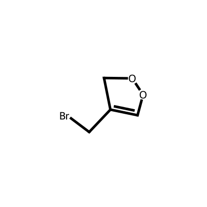 BrCC1=COOC1